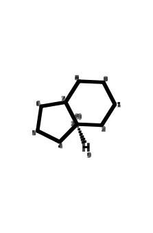 C1CC[C@H]2CCCC2C1